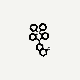 O=C1CCCc2ccc(N3c4ccccc4[Si](c4ccccc4)(c4ccccc4)c4ccccc43)cc21